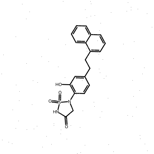 O=C1CN(c2ccc(CCc3cccc4ccccc34)cc2O)S(=O)(=O)N1